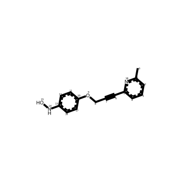 Cc1cccc(C#CCOc2ccc(NO)cc2)n1